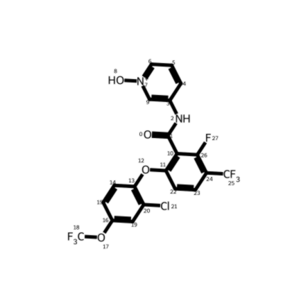 O=C(Nc1ccc[n+](O)c1)c1c(Oc2ccc(OC(F)(F)F)cc2Cl)ccc(C(F)(F)F)c1F